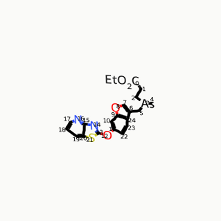 CCOC(=O)CC[As](C)Cc1coc2cc(Oc3nc4ncccc4s3)ccc12